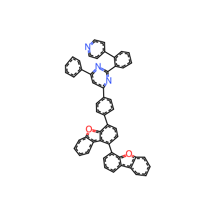 c1ccc(-c2cc(-c3ccc(-c4ccc(-c5cccc6c5oc5ccccc56)c5c4oc4ccccc45)cc3)nc(-c3ccccc3-c3ccncc3)n2)cc1